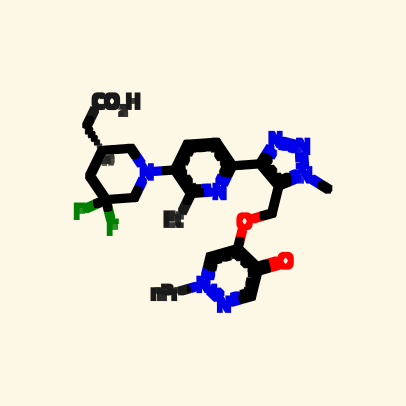 CCCn1cc(OCc2c(-c3ccc(N4C[C@@H](CC(=O)O)CC(F)(F)C4)c(CC)n3)nnn2C)c(=O)cn1